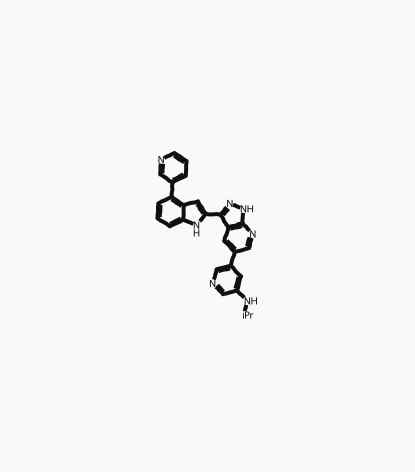 CC(C)Nc1cncc(-c2cnc3[nH]nc(-c4cc5c(-c6cccnc6)cccc5[nH]4)c3c2)c1